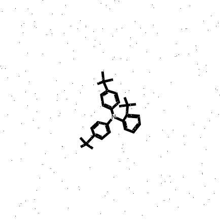 CC(C)(C)c1ccc(N(c2ccc(C(C)(C)C)cc2)c2ccccc2C(C)(C)C)cc1